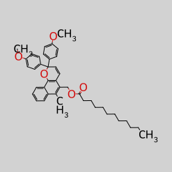 CCCCCCCCCCCC(=O)OCc1c2c(c3ccccc3c1C)OC(c1ccc(OC)cc1)(c1ccc(OC)cc1)C=C2